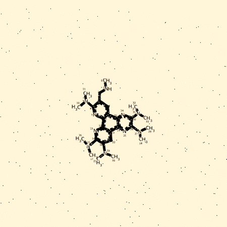 CNCc1cc2c(nc1N(C)C)c1nc(N(C)C)c(N(C)C)cc1c1nc(N(C)C)c(N(C)C)nc21